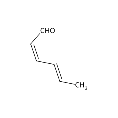 CC=C/C=C\C=O